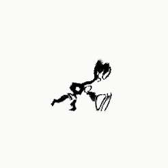 CCCCN(CCCC)c1ccc(C=Cc2ccc(C=O)s2)c(OCCCO)c1